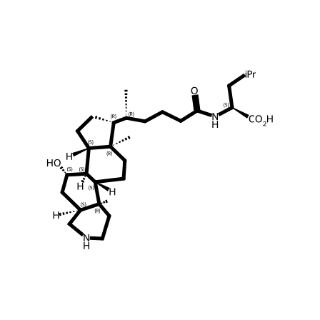 CC(C)C[C@H](NC(=O)CCC[C@@H](C)[C@H]1CC[C@H]2[C@@H]3[C@@H](O)C[C@@H]4CNCC[C@]4(C)[C@H]3CC[C@]12C)C(=O)O